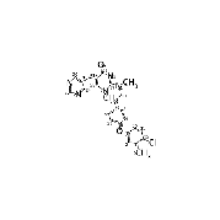 Cc1cc(Oc2ccc(CCN(C)c3nc(=O)c(Cc4cncnc4)cn3C)cc2)ccc1Cl